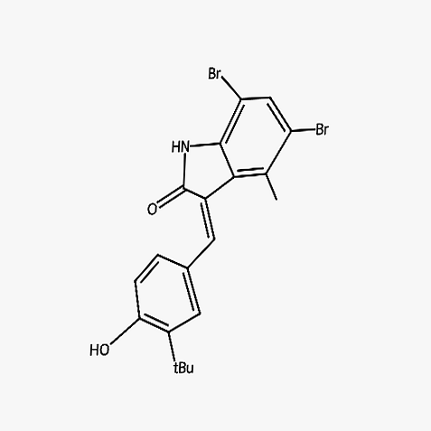 Cc1c(Br)cc(Br)c2c1C(=Cc1ccc(O)c(C(C)(C)C)c1)C(=O)N2